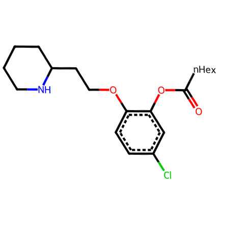 CCCCCCC(=O)Oc1cc(Cl)ccc1OCCC1CCCCN1